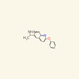 CC(=O)NC(C)c1ccc2nc(Oc3cc[c]cc3)ccc2c1